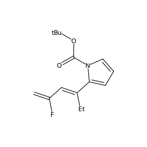 C=C(F)/C=C(\CC)c1cccn1C(=O)OC(C)(C)C